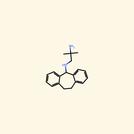 CC(C)(N)CNC1c2ccccc2CCc2ccccc21